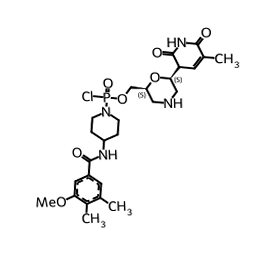 COc1cc(C(=O)NC2CCN(P(=O)(Cl)OC[C@@H]3CNC[C@H](C4C=C(C)C(=O)NC4=O)O3)CC2)cc(C)c1C